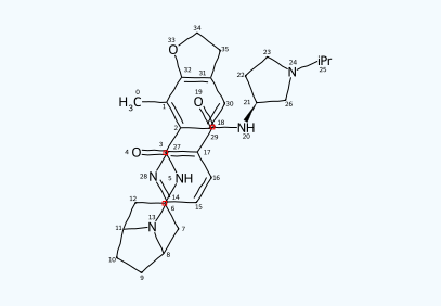 Cc1c(C(=O)NC2CC3CCC(C2)N3c2ccc(C(=O)N[C@H]3CCN(C(C)C)C3)cn2)ccc2c1OCC2